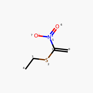 C=C(SCC)[N+](=O)[O-]